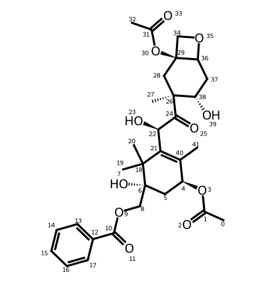 CC(=O)O[C@H]1C[C@@](O)(COC(=O)c2ccccc2)C(C)(C)C([C@@H](O)C(=O)[C@@]2(C)C[C@]3(OC(C)=O)COC3C[C@@H]2O)=C1C